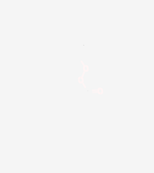 Cc1cc(C)cc(C(=O)OO[CH]C(C)(C)C)c1